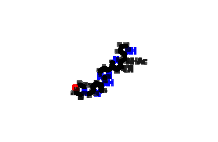 CC(=O)NC(c1ncc(-c2ccnc(Nc3ccc(CN4CCOCC4)nc3)n2)cc1C#N)C1CCCN1